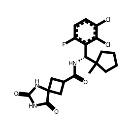 CC1([C@H](NC(=O)C2CC3(C2)NC(=O)NC3=O)c2c(F)ccc(Cl)c2Cl)CCCC1